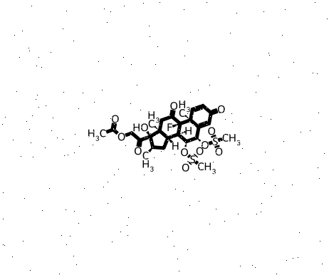 CC(=O)OCC(=O)[C@@]1(O)[C@H](C)C[C@H]2[C@@H]3[C@@H](OS(C)(=O)=O)[C@@H](OS(C)(=O)=O)C4=CC(=O)C=C[C@]4(C)[C@@]3(F)C(=O)C[C@@]21C